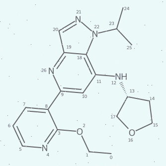 CCOc1ncccc1-c1cc(N[C@@H]2CCOC2)c2c(cnn2C(C)C)n1